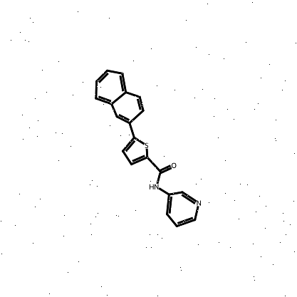 O=C(Nc1cccnc1)c1ccc(-c2ccc3ccccc3c2)s1